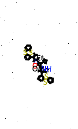 CC/C(=C(/C)C(=C(C)C)c1cccc2c1Sc1ccccc1S2)C1C(OOC)C(c2[nH]c(C)c(-c3cccc4c3Sc3ccccc3S4)c2C)C1C1CCC1